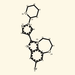 Brc1cc2c3c(c1)nc(-c1cnn(C4CCCCO4)c1)n3CCCO2